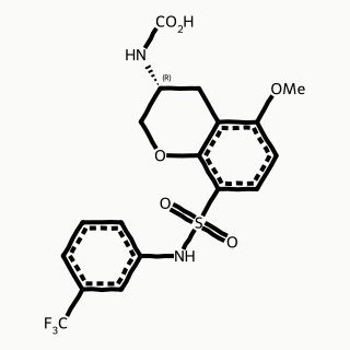 COc1ccc(S(=O)(=O)Nc2cccc(C(F)(F)F)c2)c2c1C[C@@H](NC(=O)O)CO2